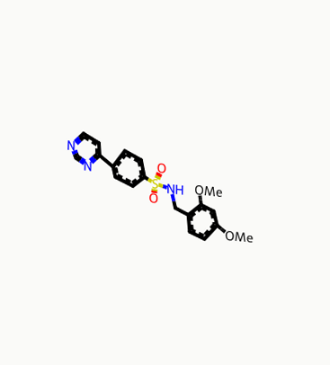 COc1ccc(CNS(=O)(=O)c2ccc(-c3ccncn3)cc2)c(OC)c1